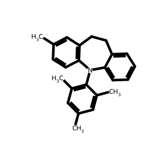 Cc1cc(C)c(N2c3ccccc3CCc3cc(C)ccc32)c(C)c1